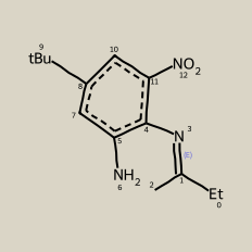 CC/C(C)=N/c1c(N)cc(C(C)(C)C)cc1[N+](=O)[O-]